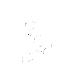 O=C(Nc1ccc2c(c1)OCO2)Nc1c2c(nn1-c1ccccc1)CSC2